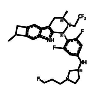 CC1Cc2cc3c4c([nH]c3cc21)[C@@H](c1c(F)cc(N[C@H]2CCN(CCCF)C2)cc1F)N(CC(F)(F)F)[C@H](C)C4